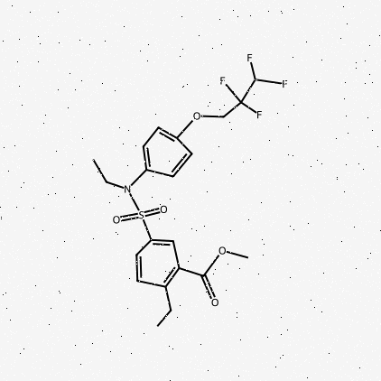 CCc1ccc(S(=O)(=O)N(CC)c2ccc(OCC(F)(F)C(F)F)cc2)cc1C(=O)OC